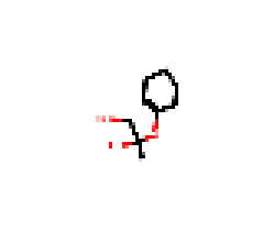 CC(O)(CO)OC1=CCCCC1